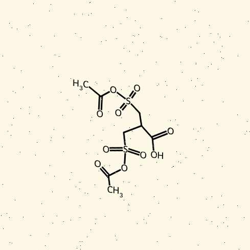 CC(=O)OS(=O)(=O)CC(CS(=O)(=O)OC(C)=O)C(=O)O